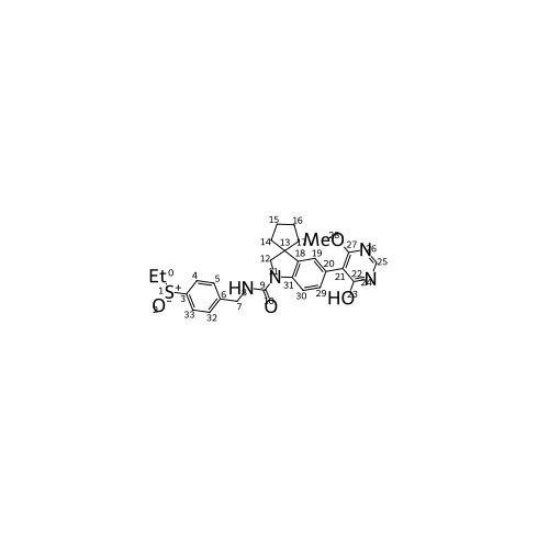 CC[S+]([O-])c1ccc(CNC(=O)N2CC3(CCCC3)c3cc(-c4c(O)ncnc4OC)ccc32)cc1